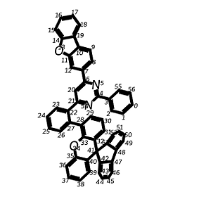 c1ccc(-c2nc(-c3ccc4c(c3)oc3ccccc34)cc(-c3ccccc3-c3cccc4c3Oc3ccccc3C43c4ccccc4-c4ccccc43)n2)cc1